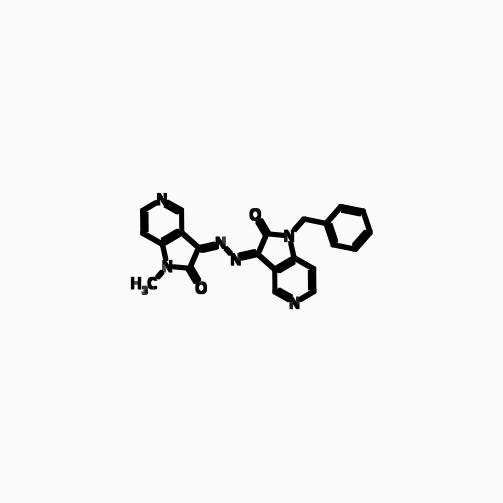 CN1C(=O)/C(=N\N=C2/C(=O)N(Cc3ccccc3)c3ccncc32)c2cnccc21